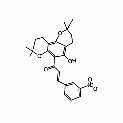 CC1(C)CCc2c(O)c(C(=O)/C=C/c3cccc([N+](=O)[O-])c3)c3c(c2O1)CCC(C)(C)O3